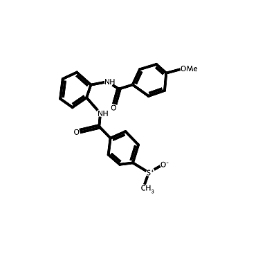 COc1ccc(C(=O)Nc2ccccc2NC(=O)c2ccc([S+](C)[O-])cc2)cc1